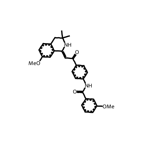 COc1cccc(C(=O)Nc2ccc(C(=O)C=C3NC(C)(C)Cc4ccc(OC)cc43)cc2)c1